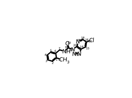 Cc1ccccc1CNC(=O)n1nnc2cc(Cl)cnc21